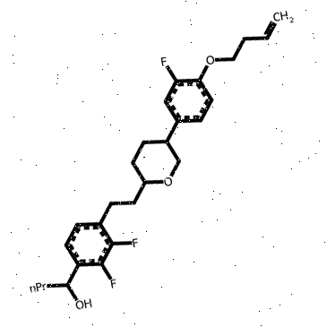 C=CCCOc1ccc(C2CCC(CCc3ccc(C(O)CCC)c(F)c3F)OC2)cc1F